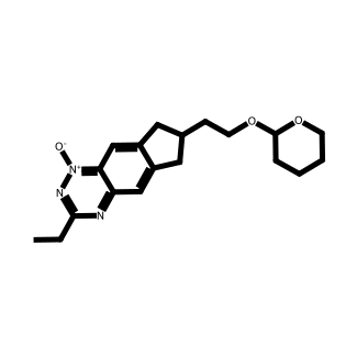 CCc1nc2cc3c(cc2[n+]([O-])n1)CC(CCOC1CCCCO1)C3